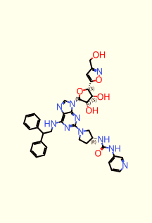 O=C(Nc1cccnc1)N[C@@H]1CCN(c2nc(NCC(c3ccccc3)c3ccccc3)c3ncn([C@@H]4O[C@H](c5cc(CO)no5)[C@@H](O)[C@@H]4O)c3n2)C1